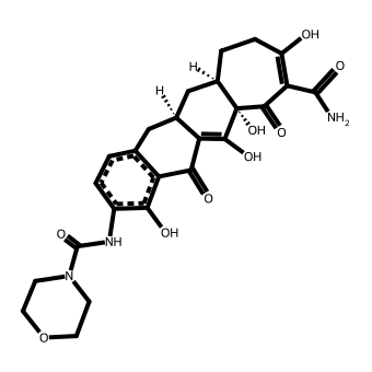 NC(=O)C1=C(O)CC[C@@H]2C[C@@H]3Cc4ccc(NC(=O)N5CCOCC5)c(O)c4C(=O)C3=C(O)[C@]2(O)C1=O